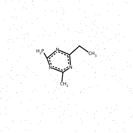 CCc1nc(C)nc(P)n1